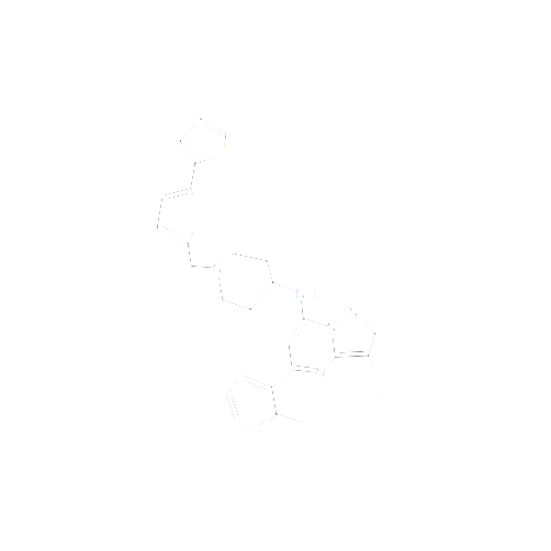 Clc1ccccc1-c1cc(NC2CCN(Cc3ccc(-c4cccs4)s3)CC2)n2ncc(Br)c2n1